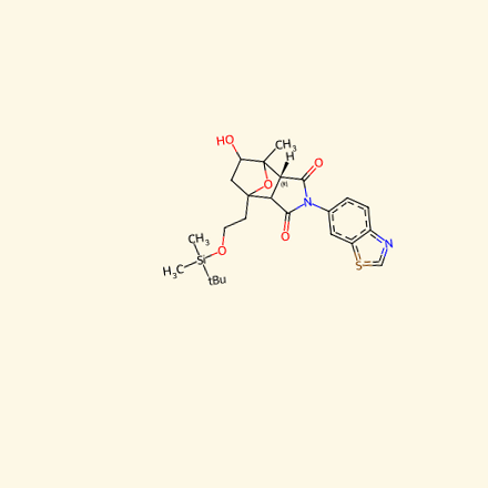 CC12OC(CCO[Si](C)(C)C(C)(C)C)(CC1O)C1C(=O)N(c3ccc4ncsc4c3)C(=O)[C@H]12